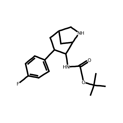 CC(C)(C)OC(=O)NC1C2CC(CN2)CC1c1ccc(F)cc1